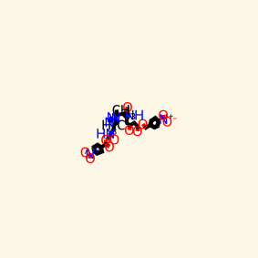 CC(C(=O)CC(=O)OCc1ccc([N+](=O)[O-])cc1)C1NC(=O)C1C(C)n1cc(CNC(=O)OC(=O)c2ccc([N+](=O)[O-])cc2)nn1